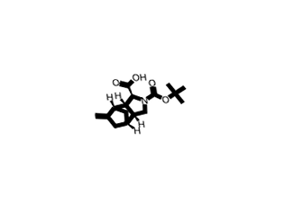 C=C1C[C@@H]2C[C@H]1[C@H]1[C@@H]2CN(C(=O)OC(C)(C)C)[C@@H]1C(=O)O